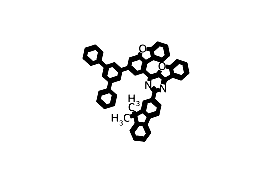 CC1(C)c2ccccc2-c2ccc(-c3nc(-c4cc(-c5cc(-c6ccccc6)cc(-c6ccccc6)c5)cc5oc6ccccc6c45)c4oc5ccccc5c4n3)cc21